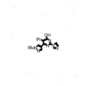 CC(C)c1c(O)nc(-n2ccnc2)nc1-c1cnn(C(C)(C)C)c1